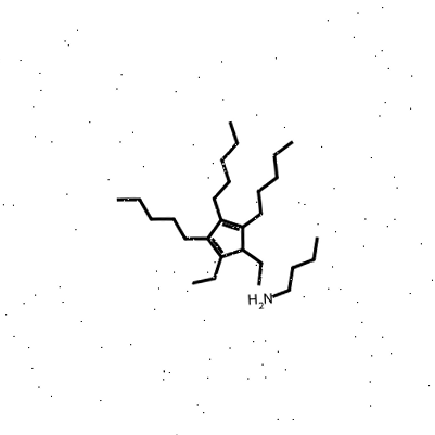 CCCCCC1=C(CC)C(CC)C(CCCCC)=C1CCCCC.CCCCN